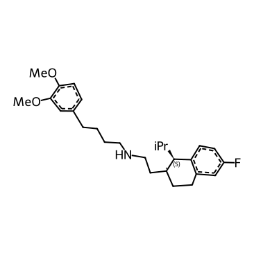 COc1ccc(CCCCNCC[C]2CCc3cc(F)ccc3[C@@H]2C(C)C)cc1OC